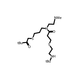 CNCCN(CCCSCC(=O)C(C)(C)C)C(=O)CCSCCNC(C)(C)C